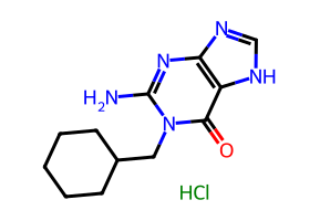 Cl.Nc1nc2nc[nH]c2c(=O)n1CC1CCCCC1